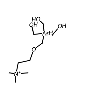 C[N+](C)(C)CCOC[AsH](CO)(CO)CO